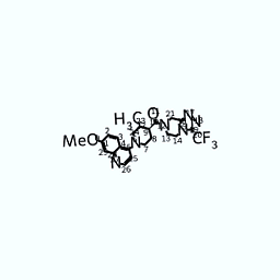 COc1ccc2c(N3CC[C@H](C(=O)N4CCn5c(nnc5C(F)(F)F)C4)[C@H](C)C3)ccnc2c1